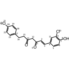 O=C(/C=C/c1ccc(O)c(Cl)c1)CC(=O)CCc1ccc(O)cc1